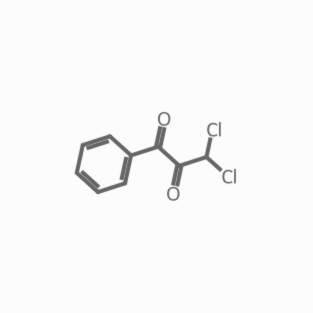 O=C(C(=O)C(Cl)Cl)c1ccccc1